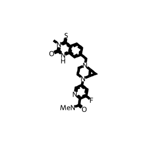 CNC(=O)c1ncc(N2CCN(Cc3ccc4c(=S)n(C)c(=O)[nH]c4c3)C3CC32)cc1F